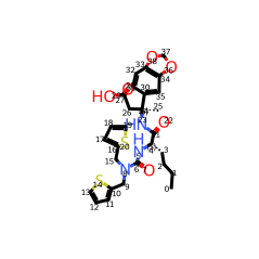 CCCC[C@H](NC(=O)N(Cc1cccs1)Cc1cccs1)C(=O)N[C@@](C)(CC(=O)O)c1ccc2c(c1)OCO2